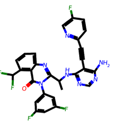 CC(Nc1ncnc(N)c1C#Cc1ccc(F)cn1)c1nc2cccc(C(F)F)c2c(=O)n1-c1cc(F)cc(F)c1